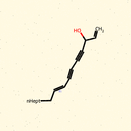 C=CC(O)C#CC#C/C=C/CCCCCCCC